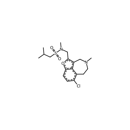 CC(C)CS(=O)(=O)N(C)Cc1oc2ccc(Cl)c3c2c1CN(C)CC3